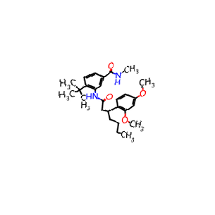 CCCCC(CC(=O)Nc1cc(C(=O)NC)ccc1C(C)(C)C)c1ccc(OC)cc1OC